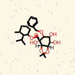 CC(C)C1C(C)CCCC1OC(=O)[C@@]1(O)[C@@H](OCc2ccccc2)[C@H](O)[C@@H](O)[C@@H]2OC(C)(C)O[C@@H]21